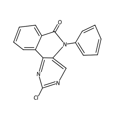 O=c1c2ccccc2c2nc(Cl)ncc2n1-c1ccccc1